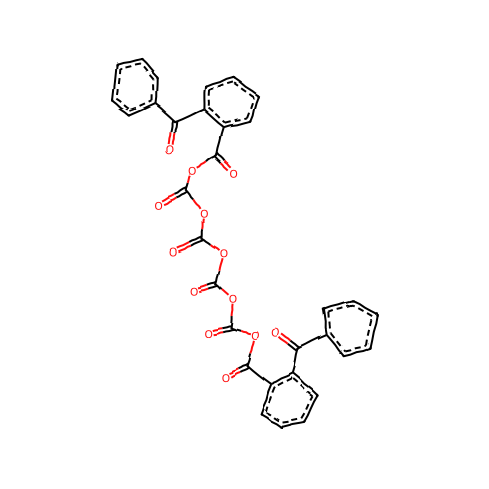 O=C(OC(=O)OC(=O)OC(=O)c1ccccc1C(=O)c1ccccc1)OC(=O)OC(=O)c1ccccc1C(=O)c1ccccc1